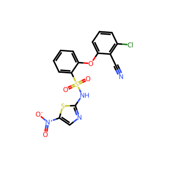 N#Cc1c(Cl)cccc1Oc1ccccc1S(=O)(=O)Nc1ncc([N+](=O)[O-])s1